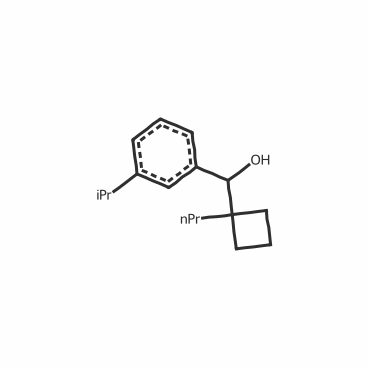 CCCC1(C(O)c2cccc(C(C)C)c2)CCC1